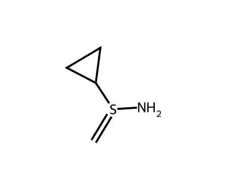 C=S(N)C1CC1